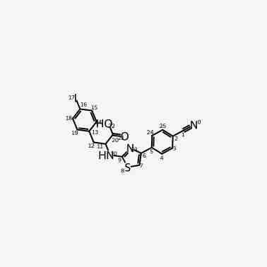 N#Cc1ccc(-c2csc(NC(Cc3ccc(I)cc3)C(=O)O)n2)cc1